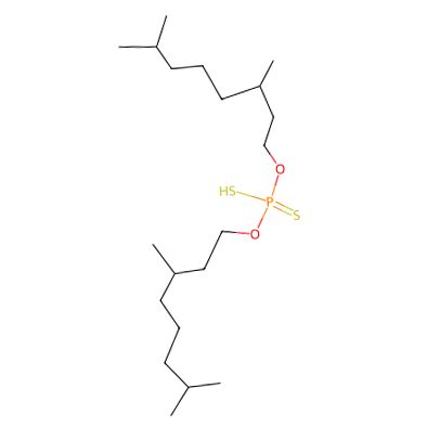 CC(C)CCCC(C)CCOP(=S)(S)OCCC(C)CCCC(C)C